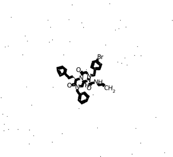 C=CCNC(=O)N1[C@H]2CN(Cc3ccccc3)C(=O)[C@H](CCc3ccccc3)N2C(=O)CN1Cc1ccc(Br)cc1